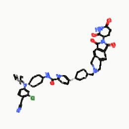 CN(c1ccc(C#N)c(Cl)c1)[C@H]1CC[C@H](NC(=O)c2ccc([C@H]3CC[C@H](CN4Cc5cc6c(cc5C4)C(=O)N(C4CCC(=O)NC4=O)C6=O)CC3)cn2)CC1